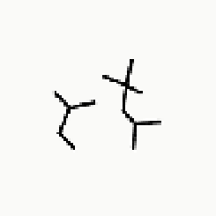 CC(C)CC(C)(C)C.CCC(C)C